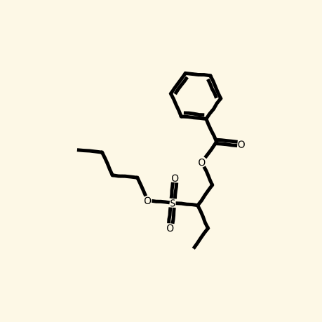 CCCCOS(=O)(=O)C(CC)COC(=O)c1ccccc1